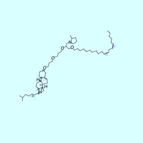 CCCCC/C=C\C/C=C\CCCCCCCCCCOCC(CN1CCCC1C)OCCCOCCCO[C@H]1CC[C@@]2(C)C(=CC[C@H]3[C@@H]4CC[C@H]([C@H](C)CCCC(C)C)[C@@]4(C)CC[C@@H]32)C1